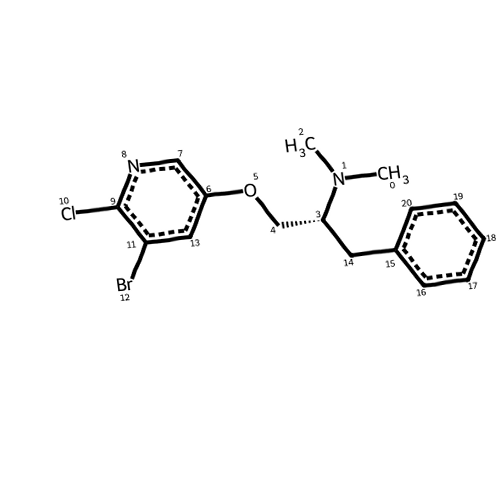 CN(C)[C@@H](COc1cnc(Cl)c(Br)c1)Cc1ccccc1